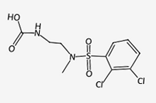 CN(CCNC(=O)O)S(=O)(=O)c1cccc(Cl)c1Cl